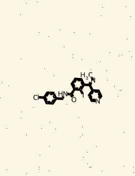 C/N=C(/c1ccncc1)c1cccc(C(=O)NCc2ccc(Cl)cc2)c1I